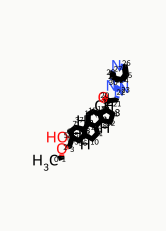 CCOC[C@@]1(O)CC[C@H]2[C@@H](CCC3[C@@H]2CC[C@]2(C)[C@@H](C(=O)Cn4nc5ccncc5n4)CC[C@@H]32)C1